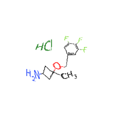 CC1(OCc2cc(F)c(F)c(F)c2)CC(N)C1.Cl